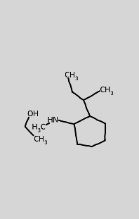 CCC(C)C1CCCCC1NC.CCO